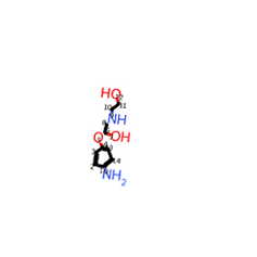 Nc1ccc(OC(O)CNCCO)cc1